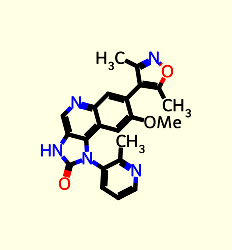 COc1cc2c(cc1-c1c(C)noc1C)ncc1[nH]c(=O)n(-c3cccnc3C)c12